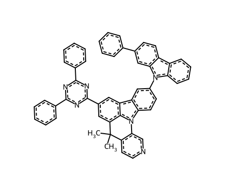 CC1(C)c2ccncc2-n2c3ccc(-n4c5ccccc5c5ccc(-c6ccccc6)cc54)cc3c3cc(-c4nc(-c5ccccc5)nc(-c5ccccc5)n4)cc1c32